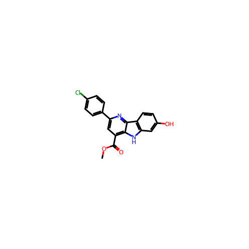 COC(=O)c1cc(-c2ccc(Cl)cc2)nc2c1[nH]c1cc(O)ccc12